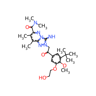 COc1c(OCCO)cc(C(=O)Cn2nc3c(C)c(C)c(C(=O)N(C)C)nn3c2=N)cc1C(C)(C)C